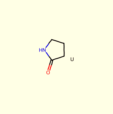 O=C1CCCN1.[U]